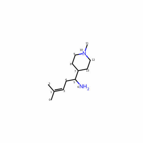 CC(C)=CCC(N)C1CCN(C)CC1